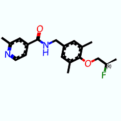 Cc1cc(C(=O)NCc2cc(C)c(OC[C@@H](C)F)c(C)c2)ccn1